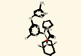 Cc1cc(Nc2cc(Cl)nc(N(C)[C@@H]3C[C@H]4CCC[C@@H](C3)N4CC(=O)N3CCCC3)n2)n[nH]1